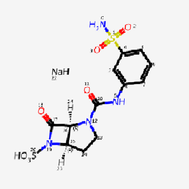 NS(=O)(=O)c1cccc(NC(=O)N2CC[C@@H]3[C@H]2C(=O)N3S(=O)(=O)O)c1.[NaH]